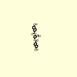 CCOc1cc(OC(=O)c2ccc3cc(O)ccc3c2)ccc1OC(=O)c1ccc2cc(O)ccc2c1